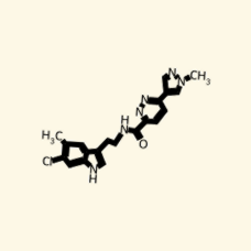 Cc1cc2c(CCNC(=O)c3ccc(-c4cnn(C)c4)nn3)c[nH]c2cc1Cl